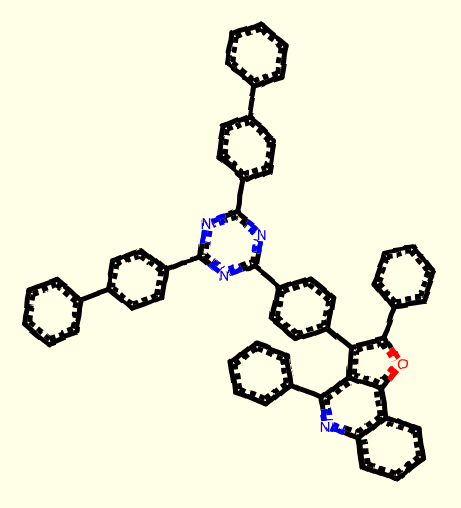 c1ccc(-c2ccc(-c3nc(-c4ccc(-c5ccccc5)cc4)nc(-c4ccc(-c5c(-c6ccccc6)oc6c5c(-c5ccccc5)nc5ccccc56)cc4)n3)cc2)cc1